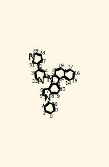 c1ccc(-n2ccc3c2ccc2c4c5ccccc5ccc4n(-c4cc(-c5cccnc5)ccn4)c23)cc1